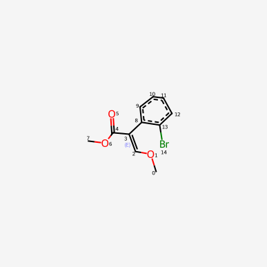 CO/C=C(/C(=O)OC)c1ccccc1Br